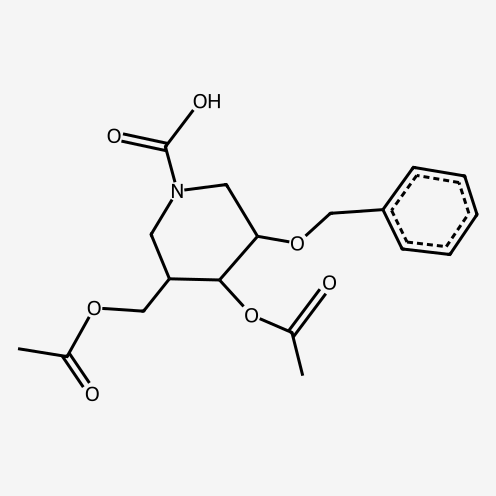 CC(=O)OCC1CN(C(=O)O)CC(OCc2ccccc2)C1OC(C)=O